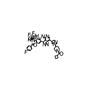 C[C@H](Oc1cc(-c2nn(C)c3c(-c4cnn(C5CCN(C(=O)C6CCC6)CC5)c4)cnc(N)c23)ccc1NS(=O)(=O)C(F)F)c1ccc(F)cc1